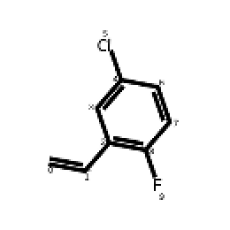 C=[C]c1cc(Cl)ccc1F